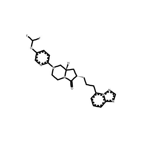 O=C1[C@@H](CCCc2cccc3ncnn23)C[C@H]2CN(c3ccc(OC(F)F)cn3)CCN12